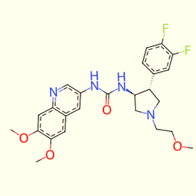 COCCN1C[C@@H](NC(=O)Nc2cnc3cc(OC)c(OC)cc3c2)[C@H](c2ccc(F)c(F)c2)C1